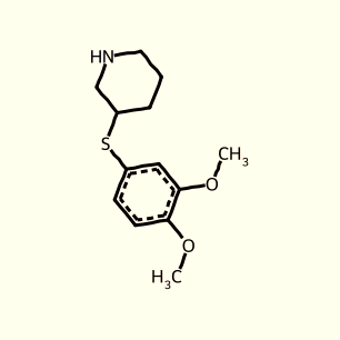 COc1ccc(SC2CCCNC2)cc1OC